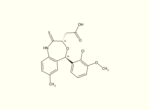 COc1cccc([C@@H]2O[C@@H](CC(=O)O)C(=S)Nc3ccc(C)cc32)c1Cl